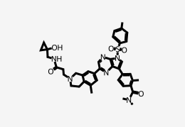 Cc1ccc(S(=O)(=O)n2cc(-c3ccc(C(=O)N(C)C)c(C)c3)c3nc(-c4cc(C)c5c(c4)CN(CCC(=O)NCC4(O)CC4)CC5)cnc32)cc1